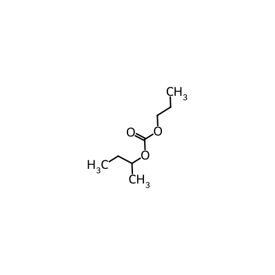 CCCOC(=O)OC(C)CC